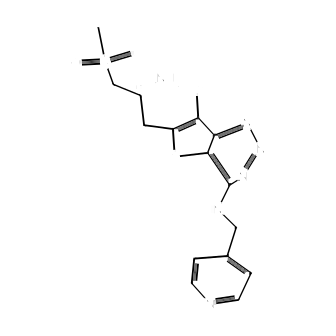 CS(=O)(=O)C[C@H](N)Cc1sc2c(NCc3ccncc3)nnnc2c1Br